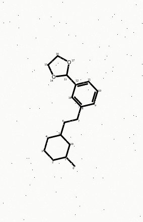 CC1CCCC(CCc2cccc(C3OCCO3)c2)C1